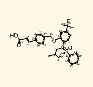 CC(C)CN(c1ccc(C(F)(F)F)cc1OCc1ccc(C=CC(=O)O)cc1)S(=O)(=O)c1ccccn1